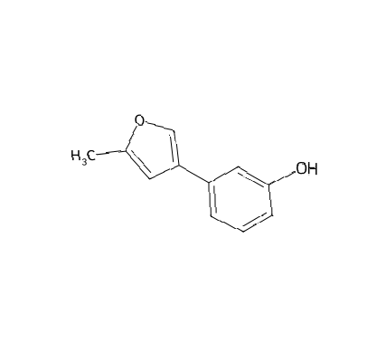 Cc1cc(-c2cccc(O)c2)co1